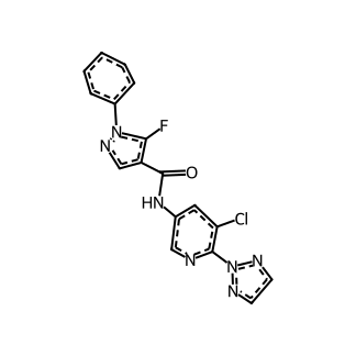 O=C(Nc1cnc(-n2nccn2)c(Cl)c1)c1cnn(-c2ccccc2)c1F